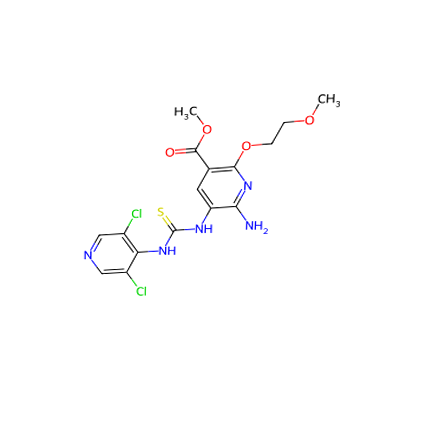 COCCOc1nc(N)c(NC(=S)Nc2c(Cl)cncc2Cl)cc1C(=O)OC